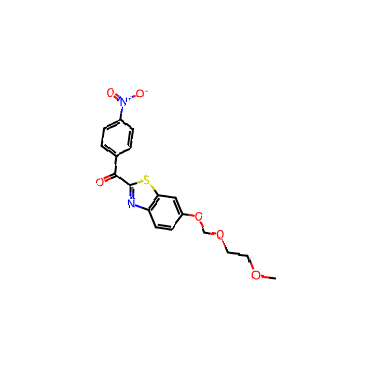 COCCOCOc1ccc2nc(C(=O)c3ccc([N+](=O)[O-])cc3)sc2c1